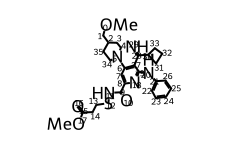 COCC1CCN(c2cc(C(=O)NSCCC(=O)OC)nc(Nc3ccccc3)c2C(=N)C2CCC2)CC1